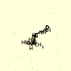 Cc1cc(NC2CCNCC2)nc(NCc2noc(CCCNCCCNC3CCCCC3)n2)n1